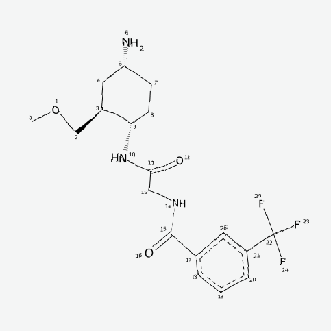 COC[C@H]1C[C@H](N)CC[C@@H]1NC(=O)CNC(=O)c1cccc(C(F)(F)F)c1